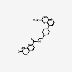 COc1ccc2nccc(N3CCN(CCNC(=O)c4ccc5c(n4)NC(=O)CS5)CC3)c2n1